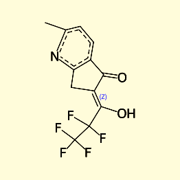 Cc1ccc2c(n1)C/C(=C(/O)C(F)(F)C(F)(F)F)C2=O